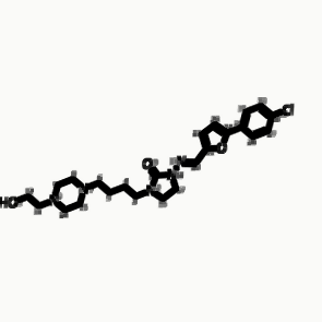 O=C1N(CCCCN2CCN(CCO)CC2)CCN1/N=C/c1ccc(-c2ccc(Cl)cc2)o1